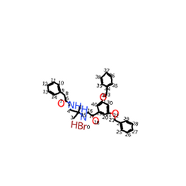 Br.CC(C)(CNC(=O)Cc1ccccc1)NCC(=O)c1cc(OCc2ccccc2)cc(OCc2ccccc2)c1